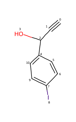 C#CC(O)c1ccc(I)cc1